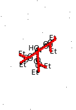 CC/C=C\CCCCOC(CCC(=O)OCCCCCCN(CCO)CCN(CCCCCCOC(=O)CCC(OCCCC/C=C\CC)OCCCC/C=C\CC)CCCCCCOC(=O)CCC(OCCCC/C=C\CC)OCCCC/C=C\CC)OCCCC/C=C\CC